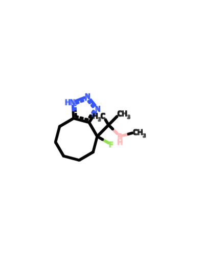 CBC(C)(C)C1(F)CCCCCc2[nH]nnc21